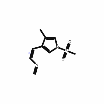 C=N/C=C\c1cn(S(C)(=O)=O)cc1C